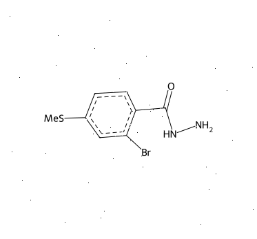 CSc1ccc(C(=O)NN)c(Br)c1